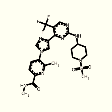 CNC(=O)c1ccc(-n2cnc(-c3nc(NC4CCN(S(C)(=O)=O)CC4)ncc3C(F)(F)F)c2)c(C)n1